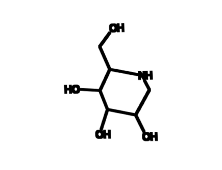 OCC1NCC(O)C(O)C1O